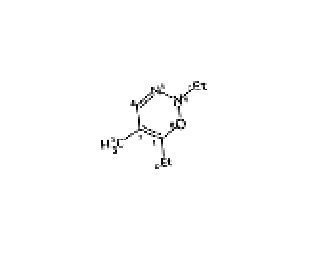 CCC1=C(C)C=NN(CC)O1